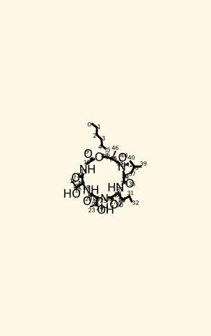 CCCCCC[C@H]1OC(=O)CNC(=O)[C@H]([C@H](C)O)NC(=O)[C@H]([C@H](C)O)NC(=O)[C@H]([C@H](C)CC)NC(=O)[C@H](CC(C)C)N(C)C(=O)[C@@H]1C